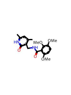 COc1ccc(OC)c(C(=O)NCc2c(C)cc(C)[nH]c2=O)c1OC